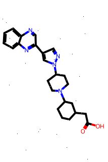 O=C(O)CC1CCCC(N2CCC(n3cc(-c4cnc5ccccc5n4)cn3)CC2)C1